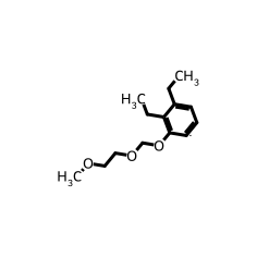 CCc1cc[c]c(OCOCCOC)c1CC